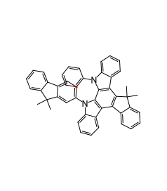 CC1(C)c2ccccc2-c2ccc(-n3c4ccccc4c4c5c(c6c7ccccc7n(-c7ccccc7)c6c43)C(C)(C)c3ccccc3-5)cc21